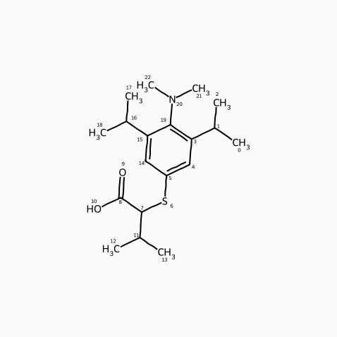 CC(C)c1cc(SC(C(=O)O)C(C)C)cc(C(C)C)c1N(C)C